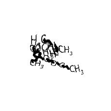 CC(C)[CH2][AlH][CH2]C(C)C.CCCCOCCOCCOCc1cc2c(cc1CCC)OCO2